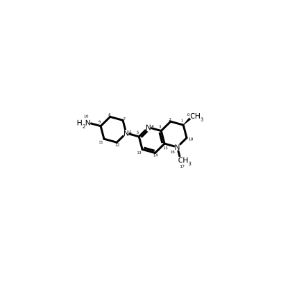 C[C@@H]1Cc2nc(N3CCC(N)CC3)ccc2N(C)C1